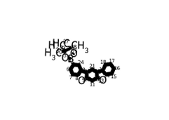 CC1(C)OB(c2ccc3oc4cc5oc6ccccc6c5cc4c3c2)OC1(C)C